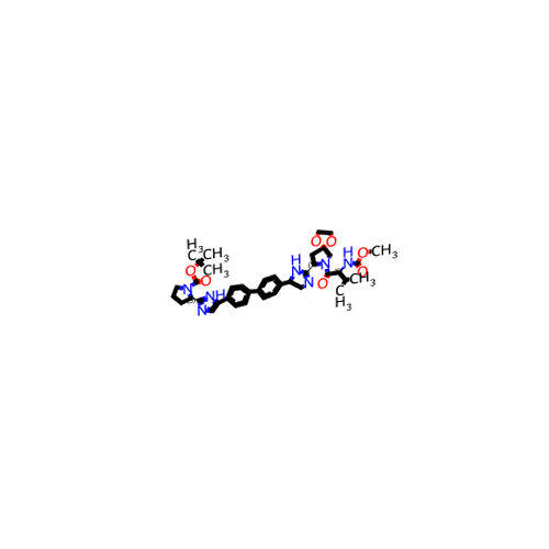 COC(=O)N[C@H](C(=O)N1CC2(C[C@H]1C1=NCC(c3ccc(-c4ccc(-c5cnc([C@@H]6CCCN6C(=O)OC(C)(C)C)[nH]5)cc4)cc3)N1)OCCO2)C(C)C